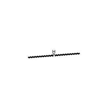 CCCCCCCCCCCCCCCCCCCCC=CPC=CCCCCCCCCCCCCCCCCCCCC